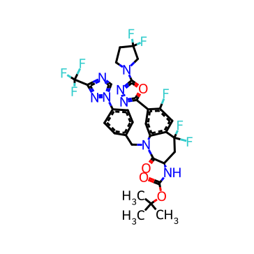 CC(C)(C)OC(=O)N[C@@H]1CC(F)(F)c2cc(F)c(-c3nnc(N4CCC(F)(F)C4)o3)cc2N(Cc2ccc(-n3cnc(C(F)(F)F)n3)cc2)C1=O